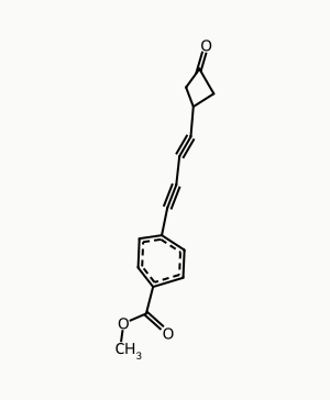 COC(=O)c1ccc(C#CC#CC2CC(=O)C2)cc1